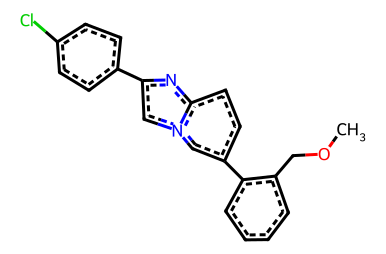 COCc1ccccc1-c1ccc2nc(-c3ccc(Cl)cc3)cn2c1